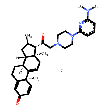 CCN(CC)c1cccc(N2CCN(CC(=O)[C@H]3[C@H](C)C[C@H]4[C@@H]5CCC6=CC(=O)C=C[C@]6(C)C5=CC[C@@]43C)CC2)n1.Cl